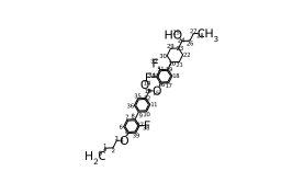 C=CCCOc1ccc(-c2ccc(C(=O)Oc3ccc(C4CCC(C(O)CCC)CC4)c(F)c3F)cc2)c(F)c1